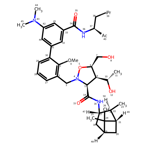 COc1c(CN2O[C@@H](CO)[C@@H]([C@H](C)O)[C@H]2C(=O)N[C@H]2C[C@H]3C[C@@H]([C@@H]2C)C3(C)C)cccc1-c1cc(C(=O)N[C@@H](CC(C)C)C(C)=O)cc(N(C)C)c1